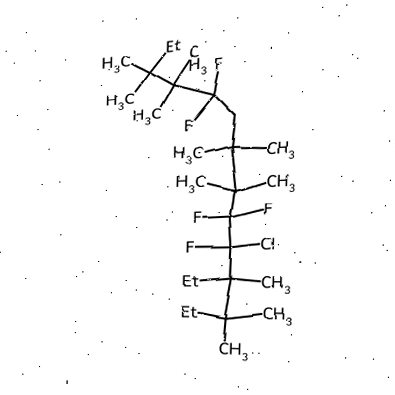 CCC(C)(C)C(C)(C)C(F)(F)CC(C)(C)C(C)(C)C(F)(F)C(F)(Cl)C(C)(CC)C(C)(C)CC